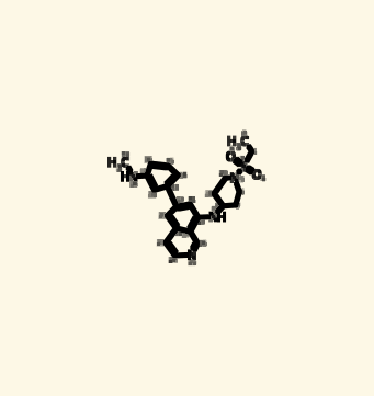 CCS(=O)(=O)N1CCC(Nc2cc(-c3cccc(NC)c3)cc3ccncc23)CC1